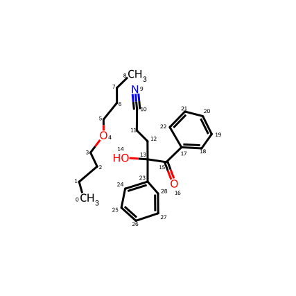 CCCCOCCCC.N#CCCC(O)(C(=O)c1ccccc1)c1ccccc1